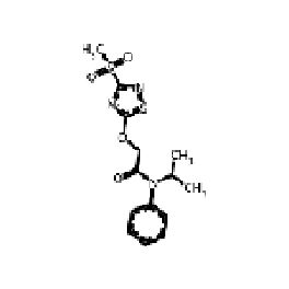 CC(C)N(C(=O)COc1nc(S(C)(=O)=O)ns1)c1ccccc1